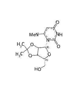 CNc1cc(=O)[nH]c(=O)n1[C@@H]1O[C@H](CO)C2OC(C)(C)OC21